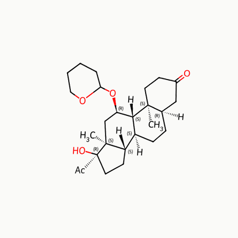 CC(=O)[C@@]1(O)CC[C@H]2[C@@H]3CC[C@@H]4CC(=O)CC[C@]4(C)[C@H]3[C@H](OC3CCCCO3)C[C@@]21C